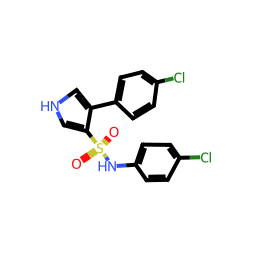 O=S(=O)(Nc1ccc(Cl)cc1)c1c[nH]cc1-c1ccc(Cl)cc1